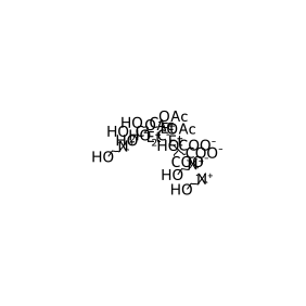 CCC(OC(C)=O)C(=O)O.CCC(OC(C)=O)C(=O)O.CCC(OC(C)=O)C(=O)O.CO.C[N+](C)(C)CCO.C[N+](C)(C)CCO.C[N+](C)(C)CCO.O=C([O-])CC(O)(CC(=O)[O-])C(=O)[O-]